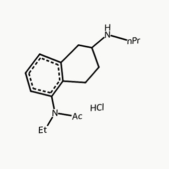 CCCNC1CCc2c(cccc2N(CC)C(C)=O)C1.Cl